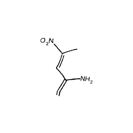 C=C(N)/C=C(\C)[N+](=O)[O-]